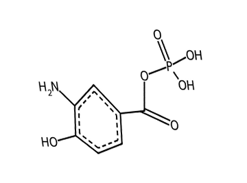 Nc1cc(C(=O)OP(=O)(O)O)ccc1O